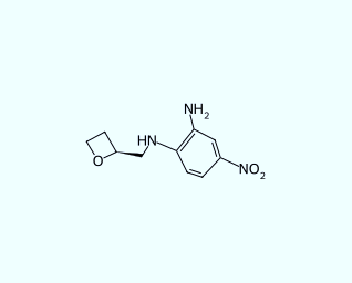 Nc1cc([N+](=O)[O-])ccc1NC[C@@H]1CCO1